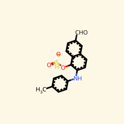 Cc1ccc(Nc2ccc3cc(C=O)ccc3c2O[SH](=O)=O)cc1